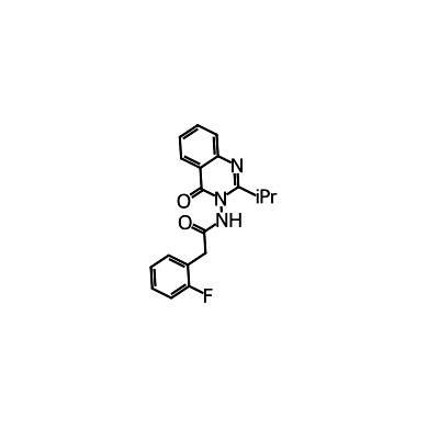 CC(C)c1nc2ccccc2c(=O)n1NC(=O)Cc1ccccc1F